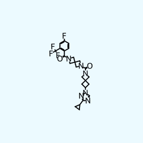 O=C(c1ccc(F)cc1C(F)(F)F)N1CC2(C1)CN(C(=O)N1CC3(CC(n4cnc(C5CC5)n4)C3)C1)C2